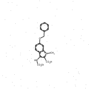 CCOC(=O)Nc1c(C(=O)O)n(C)c2cc(OCc3ccccc3)ccc12